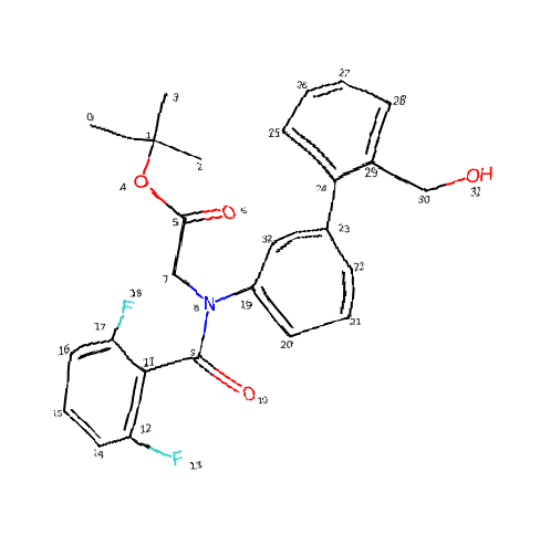 CC(C)(C)OC(=O)CN(C(=O)c1c(F)cccc1F)c1cccc(-c2ccccc2CO)c1